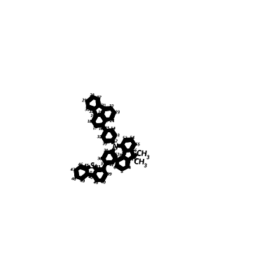 CC1(C)c2ccccc2-c2c(N(c3ccc(-c4ccc5c6c(cccc46)-c4ccccc4-5)cc3)c3ccc(-c4cccc5c4sc4ccccc45)cc3)cccc21